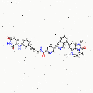 CN(C)c1cc(-c2cccc3cc(-c4ccc(C(=O)NCC#Cc5cccc(NC6CCC(=O)NC6=O)c5)nc4)ncc23)cc2c1n(C)c(=O)n2C